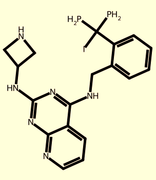 PC(P)(I)c1ccccc1CNc1nc(NC2CNC2)nc2ncccc12